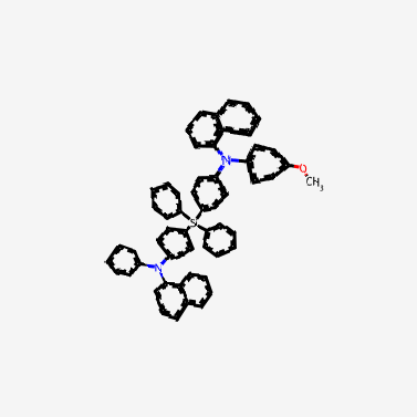 COc1ccc(N(c2ccc([Si](c3ccccc3)(c3ccccc3)c3ccc(N(c4ccccc4)c4cccc5ccccc45)cc3)cc2)c2cccc3ccccc23)cc1